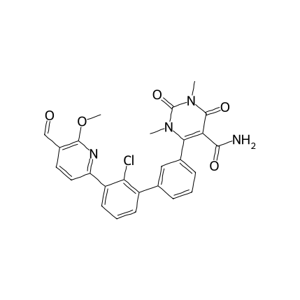 COc1nc(-c2cccc(-c3cccc(-c4c(C(N)=O)c(=O)n(C)c(=O)n4C)c3)c2Cl)ccc1C=O